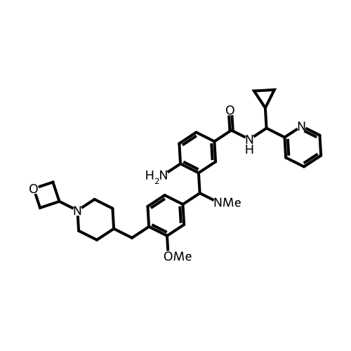 CNC(c1ccc(CC2CCN(C3COC3)CC2)c(OC)c1)c1cc(C(=O)NC(c2ccccn2)C2CC2)ccc1N